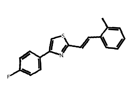 Cc1ccccc1/C=C/c1nc(-c2ccc(F)cc2)cs1